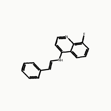 Fc1cccc2c(NC=Cc3ccccc3)ccnc12